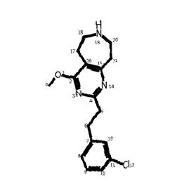 COc1nc(CCc2cccc(Cl)c2)nc2c1CCNCC2